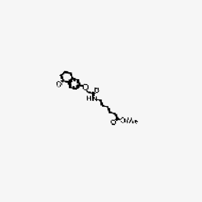 COC(=O)CCCCCNC(=O)COc1ccc2c(c1)CCCC2=O